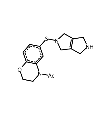 CC(=O)N1CCOc2ccc(SN3CC4=C(CNC4)C3)cc21